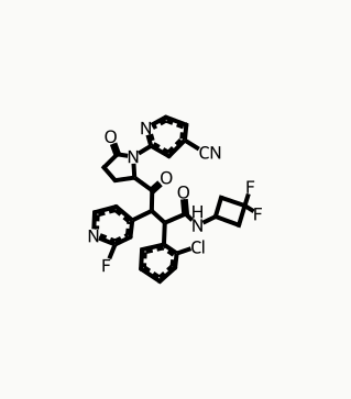 N#Cc1ccnc(N2C(=O)CCC2C(=O)C(c2ccnc(F)c2)C(C(=O)NC2CC(F)(F)C2)c2ccccc2Cl)c1